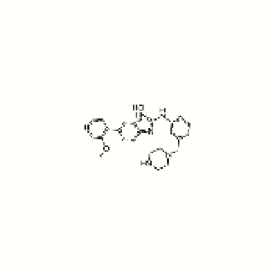 COc1cnccc1-c1ccc2nc(Nc3cc(CN4CCNCC4)ccn3)[nH]c2c1.Cl